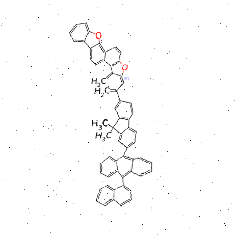 C=C(/C=c1/oc2ccc3c(ccc4c5ccccc5oc43)c2c1=C)c1ccc2c(c1)C(C)(C)c1cc(-c3c4ccccc4c(-c4cccc5ccccc45)c4ccccc34)ccc1-2